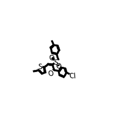 Cc1ccc(CS(=O)(=O)C(=Cc2ccc(C)s2)C(=O)c2ccc(Cl)cc2)cc1